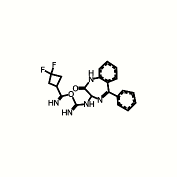 N=C(NC1N=C(c2ccccc2)c2ccccc2NC1=O)OC(=N)C1CC(F)(F)C1